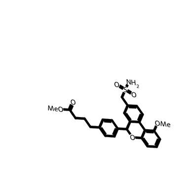 COC(=O)CCCc1ccc(C2Oc3cccc(OC)c3-c3ccc(CS(N)(=O)=O)cc32)cc1